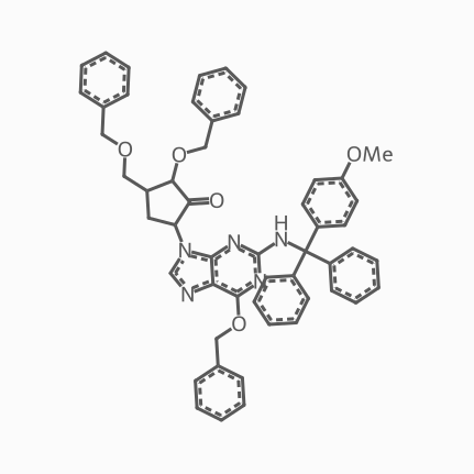 COc1ccc(C(Nc2nc(OCc3ccccc3)c3ncn(C4CC(COCc5ccccc5)C(OCc5ccccc5)C4=O)c3n2)(c2ccccc2)c2ccccc2)cc1